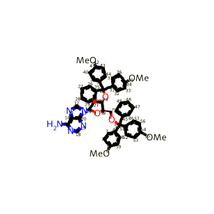 COc1ccc(C(OC[C@H]2O[C@@H](n3cnc4c(N)ncnc43)C[C@@H]2OC(c2ccccc2)(c2ccc(OC)cc2)c2ccc(OC)cc2)(c2ccccc2)c2ccc(OC)cc2)cc1